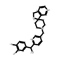 Fc1ccc(C(Cl)c2ccc(CN3CCC4(CC3)OCc3ccncc34)cn2)cc1F